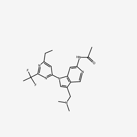 CCc1cc(-n2cc(CN(C)C)c3cnc(NC(C)=O)cc32)nc(C(C)(F)F)n1